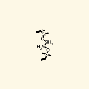 C=C[SiH](C)O[SiH2][SiH2]O[Si](C)(C)C=C